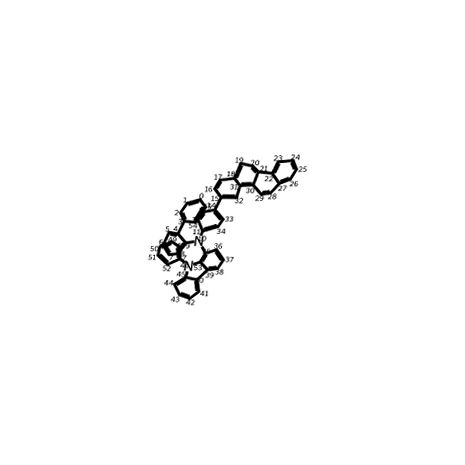 c1ccc(-c2ccccc2N(c2ccc(-c3ccc4ccc5c6ccccc6ccc5c4c3)cc2)c2cccc3c4ccccc4n(-c4ccccc4)c23)cc1